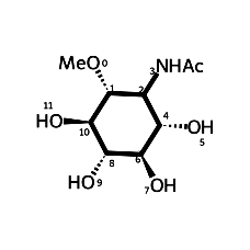 CO[C@@H]1C(NC(C)=O)[C@H](O)[C@@H](O)[C@H](O)[C@H]1O